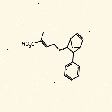 CC(=CCCC1C2C=CC(C2)C1c1ccccc1)C(=O)O